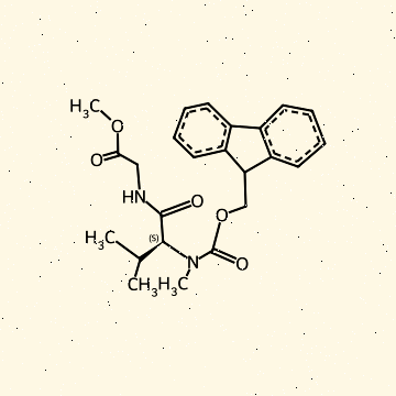 COC(=O)CNC(=O)[C@H](C(C)C)N(C)C(=O)OCC1c2ccccc2-c2ccccc21